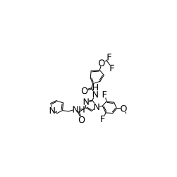 COc1cc(F)c(-n2cc(C(=O)NCc3cccnc3)nc2NC(=O)c2ccc(OC(F)F)cc2)c(F)c1